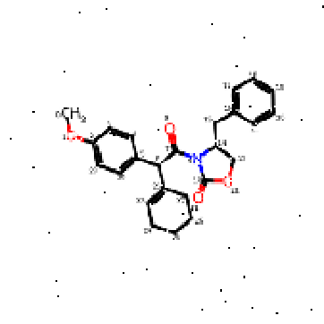 COc1ccc([C@@H](C(=O)N2C(=O)OC[C@@H]2Cc2ccccc2)C2=CCCCC2)cc1